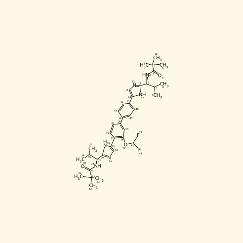 CC(C)[C@H](NC(=O)C(C)(C)C)c1ncc(-c2ccc(-c3ccc(-c4cnc([C@@H](NC(=O)C(C)(C)C)C(C)C)[nH]4)c(OC(F)F)c3)cc2)[nH]1